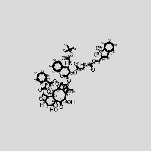 CC(=O)O[C@@]12CO[C@@H]1C[C@H](O)[C@@]1(C)C(=O)[C@H](O)C3=C(C)[C@@H](OC(=O)[C@H](OC(=O)CNC(=O)OCC4=Cc5ccccc5S4(=O)=O)[C@@H](NC(=O)OC(C)(C)C)c4ccccc4)C[C@@](O)([C@@H](OC(=O)c4ccccc4)[C@H]21)C3(C)C